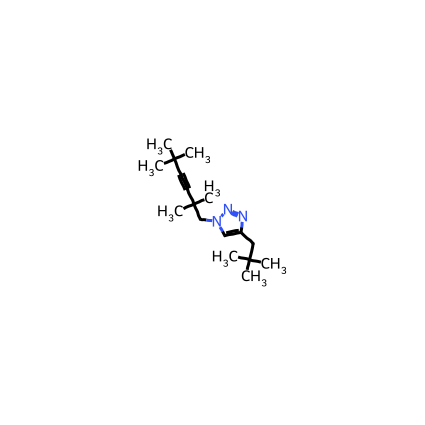 CC(C)(C)C#CC(C)(C)Cn1cc(CC(C)(C)C)nn1